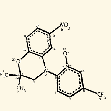 C[C@@]1(C(F)(F)F)CN(c2ccc(C(F)(F)F)c[n+]2[O-])c2cc([N+](=O)[O-])ccc2O1